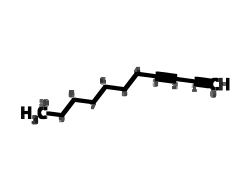 C#CC#CCCCCCCC